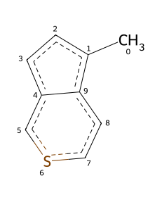 Cc1ccc2csccc1-2